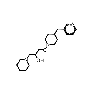 OC(CON1CCC(Cc2cccnc2)CC1)CN1CCCCC1